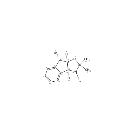 CC1(C)O[C@@H]2[C@@H](Br)c3ccccc3[C@@H]2N1I